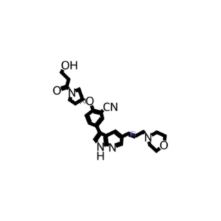 N#Cc1cc(-c2c[nH]c3ncc(/C=C/CN4CCOCC4)cc23)ccc1O[C@@H]1CCN(C(=O)CCO)C1